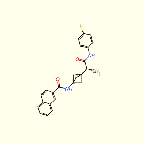 C[C@H](C(=O)Nc1ccc(F)cc1)C12CC(NC(=O)c3ccc4ccccc4c3)(C1)C2